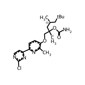 Cc1nc(-c2ccnc(Cl)n2)ccc1OCC(C)(C[C@@H](C)CC(C)(C)C)OC(N)=O